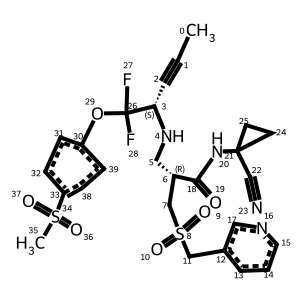 CC#C[C@H](NC[C@@H](CS(=O)(=O)Cc1cccnc1)C(=O)NC1(C#N)CC1)C(F)(F)Oc1ccc(S(C)(=O)=O)cc1